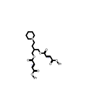 CC(C)OC(=O)/C=C/C(=O)OCC(CCN1CCCCC1)COC(=O)/C=C/C(=O)OC(C)C